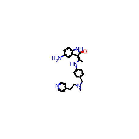 CC(Nc1ccc(CN(C)CCc2ccncc2)cc1)=C1C(=O)Nc2ccc(N)cc21